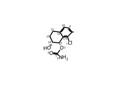 NC(=O)O[C@H]1c2c(Cl)cccc2CC[C@H]1O